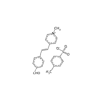 C[n+]1ccc(C=Cc2ccc(C=O)cc2)cc1.Cc1ccc(S(=O)(=O)[O-])cc1